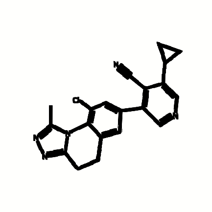 Cc1nnc2n1-c1c(Cl)cc(-c3cncc(C4CC4)c3C#N)cc1CC2